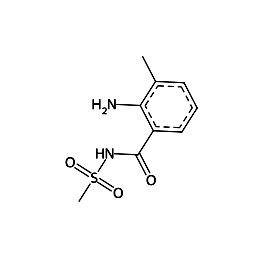 Cc1cccc(C(=O)NS(C)(=O)=O)c1N